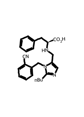 CCCCc1ncc(CN[C@@H](Cc2ccccc2)C(=O)O)n1Cc1ccccc1C#N